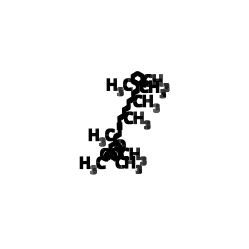 CCOC(CC(OCC)/C(C)=C/C#C/C=C(C)/C=C/C=C(C)/C=C/C1=C(C)CCCC1(C)C)OCC